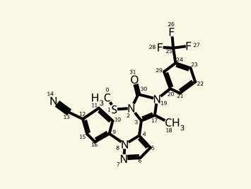 CSn1c(-c2ccnn2-c2ccc(C#N)cc2)c(C)n(-c2cccc(C(F)(F)F)c2)c1=O